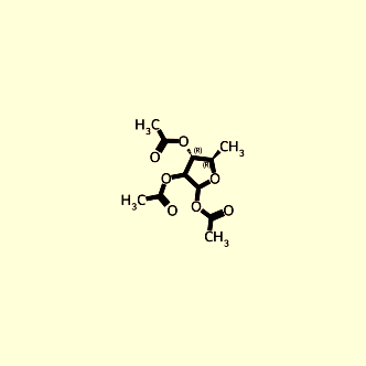 CC(=O)OC1O[C@H](C)[C@@H](OC(C)=O)C1OC(C)=O